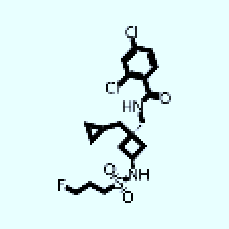 O=C(NC[C@]1(CC2CC2)C[C@@H](NS(=O)(=O)CCCF)C1)c1ccc(Cl)cc1Cl